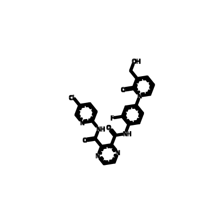 O=C(Nc1ccc(Cl)cn1)c1nccnc1C(=O)Nc1ccc(-n2cccc(CO)c2=O)cc1F